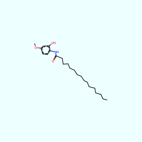 CCCCCCCCCCCCCCCC(=O)Nc1ccc(OC)cc1O